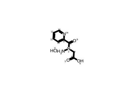 Cl.NN(CC(=O)O)C(=O)c1ccccn1